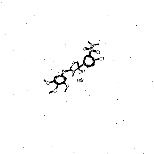 Br.COc1cc(N=C2SCC(O)(c3ccc(Cl)c(S(=O)(=O)N(C)C)c3)N2C)cc(OC)c1OC